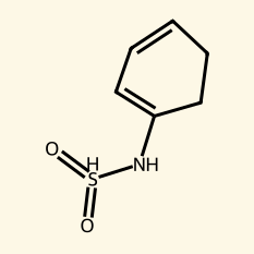 O=[SH](=O)NC1=CC=CCC1